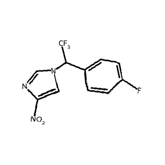 O=[N+]([O-])c1cn(C(c2ccc(F)cc2)C(F)(F)F)cn1